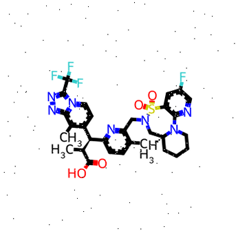 Cc1ccc([C@H](c2ccn3c(C(F)(F)F)nnc3c2C)C(C)C(=O)O)nc1CN1C[C@@H]2CCCCN2c2ncc(F)cc2S1(=O)=O